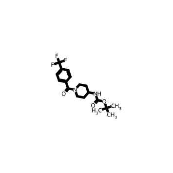 CC(C)(C)OC(=O)NC1CCN(C(=O)c2ccc(C(F)(F)F)cc2)CC1